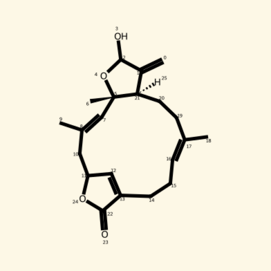 C=C1C(O)O[C@@]2(C)/C=C(\C)CC3C=C(CC/C=C(\C)CC[C@H]12)C(=O)O3